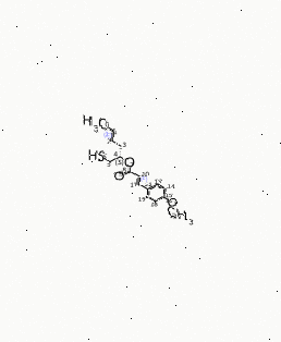 C/C=C/C[C@@H](CS)OC(=O)/C=C/c1ccc(OC)cc1